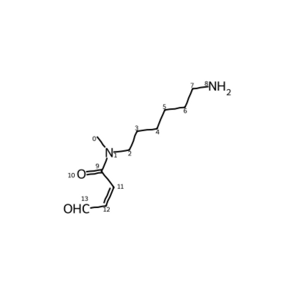 CN(CCCCCCN)C(=O)/C=C\C=O